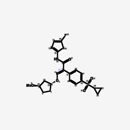 CO[C@@H]1CC[C@@H](O/N=C(/C(=O)Nc2ncc(F)s2)c2ccc(S(=O)(=O)C3CC3)cc2)C1